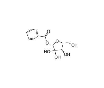 O=C(O[C@@H]1O[C@H](CO)[C@@H](O)C1(O)O)c1ccccc1